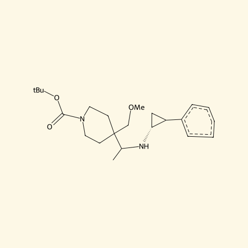 COCC1(C(C)N[C@@H]2CC2c2ccccc2)CCN(C(=O)OC(C)(C)C)CC1